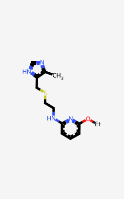 CCOc1cccc(NCCSCc2[nH]cnc2C)n1